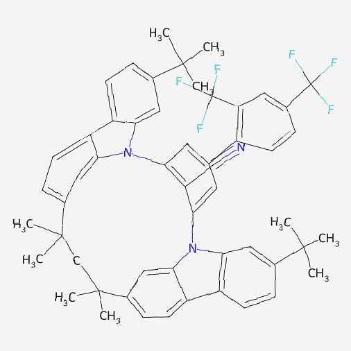 CC(C)(C)c1ccc2c3ccc4cc3n(c2c1)-c1cc(-c2ccc(C(F)(F)F)cc2C(F)(F)F)cc(c1C#N)-n1c2cc(C(C)(C)C)ccc2c2ccc(cc21)C(C)(C)CC4(C)C